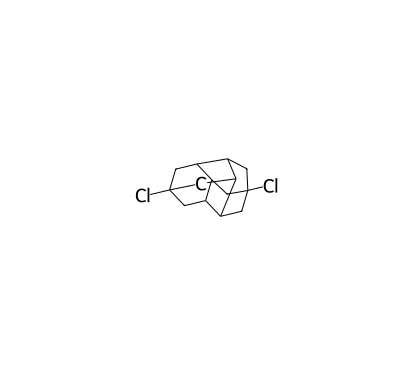 ClC12CC3C4CC5(Cl)CC3C(C1)C(C5)C4C2